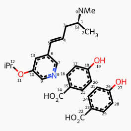 CN[C@@H](C)CC=Cc1cncc(OC(C)C)c1.O=C(O)c1ccc(O)cc1.O=C(O)c1ccc(O)cc1